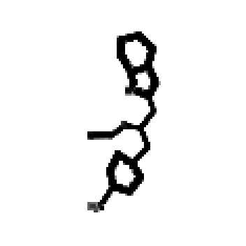 Nc1ccc(CC(Cc2cc3ccccc3[nH]2)OC=O)cc1